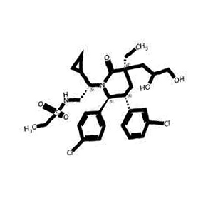 CC[C@]1(CC(O)CO)C[C@H](c2cccc(Cl)c2)[C@@H](c2ccc(Cl)cc2)N([C@H](CNS(=O)(=O)CC)C2CC2)C1=O